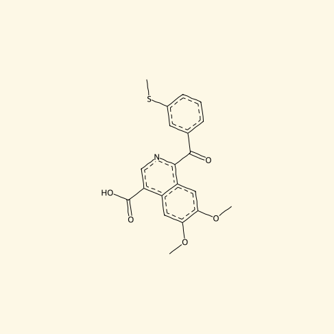 COc1cc2c(C(=O)O)cnc(C(=O)c3cccc(SC)c3)c2cc1OC